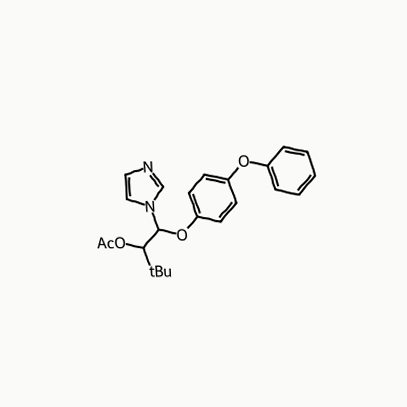 CC(=O)OC(C(Oc1ccc(Oc2ccccc2)cc1)n1ccnc1)C(C)(C)C